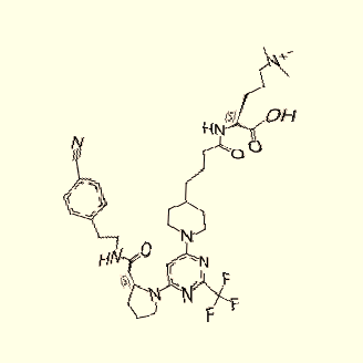 C[N+](C)(C)CCC[C@H](NC(=O)CCCC1CCN(c2cc(N3CCC[C@H]3C(=O)NCCc3ccc(C#N)cc3)nc(C(F)(F)F)n2)CC1)C(=O)O